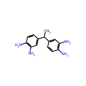 CC(c1ccc(N)c(N)c1)c1ccc(N)c(N)c1